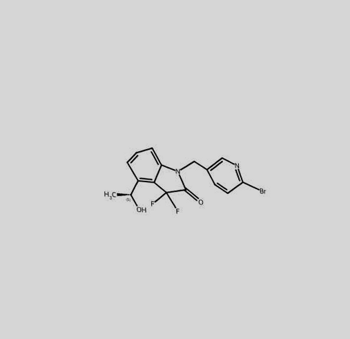 C[C@H](O)c1cccc2c1C(F)(F)C(=O)N2Cc1ccc(Br)nc1